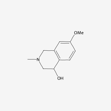 COc1ccc2c(c1)CN(C)CC2O